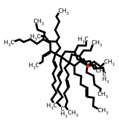 CCC=C(CC(CCC)CCCCC)C(C=CCCCCCC)(CC(CCC)CCCCC)C(CC=CCCCCC)(CC(CCC)CCCCC)C(CCC=CCCCC)(CC(CCC)CCCCC)[C](CCCC=CCCC)CC(CCC)CCCCC